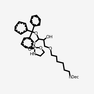 CCCCCCCCCCCCCCCCOCC(O)C(OC(c1ccccc1)(c1ccccc1)c1ccccc1)OP1(=O)NCCO1